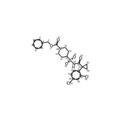 O=C(OCc1ccccc1)N1CCC(S(=O)(=O)NC(=O)C2(c3ccc(Cl)cc3Cl)CC2)CC1